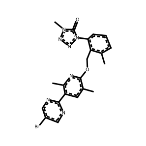 Cc1cc(-c2ncc(Br)cn2)c(C)nc1OCc1c(C)cccc1-n1nnn(C)c1=O